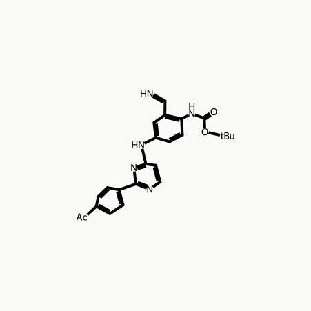 CC(=O)c1ccc(-c2nccc(Nc3ccc(NC(=O)OC(C)(C)C)c(C=N)c3)n2)cc1